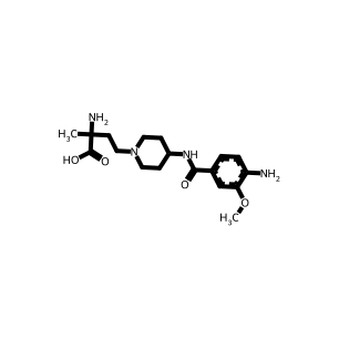 COc1cc(C(=O)NC2CCN(CCC(C)(N)C(=O)O)CC2)ccc1N